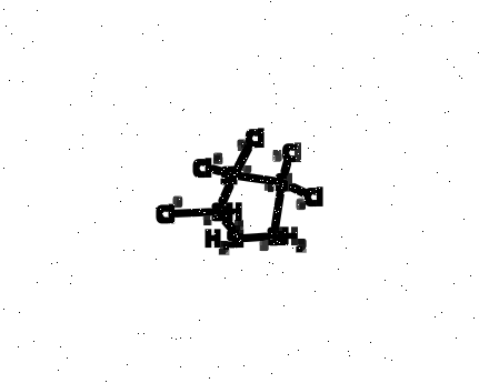 Cl[SiH]1[SiH2][SiH2][Si](Cl)(Cl)[Si]1(Cl)Cl